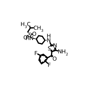 CC(C)CS(=O)(=O)N[C@H]1CC[C@H](Nc2nc(N)c(C(=O)c3cc(F)ccc3F)s2)CC1